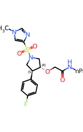 CCCNC(=O)CO[C@H]1CN(S(=O)(=O)c2cn(C)cn2)C[C@@H]1c1ccc(F)cc1